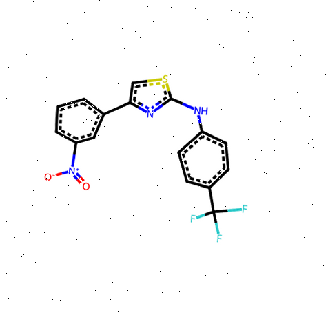 O=[N+]([O-])c1cccc(-c2csc(Nc3ccc(C(F)(F)F)cc3)n2)c1